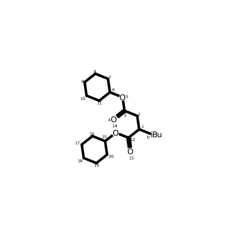 [CH2]C(CC)C(CC(=O)OC1CCCCC1)C(=O)OC1CCCCC1